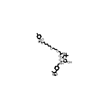 Cc1ccc(S(=O)(=O)OCCCCCOCCCOCC(=O)N[C@H](C(=O)N2C[C@H](O)C[C@H]2C(=O)NCc2ccc(-c3scnc3C)cc2)C(C)(C)C)cc1